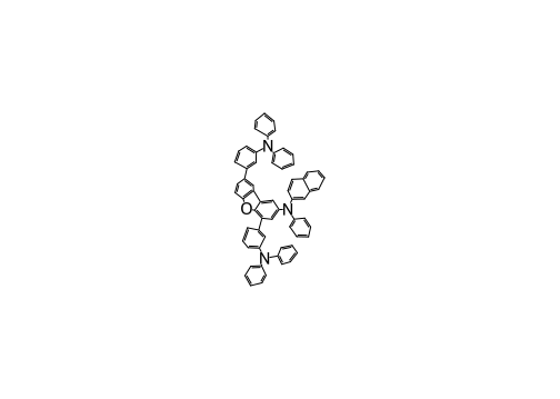 c1ccc(N(c2ccccc2)c2cccc(-c3ccc4oc5c(-c6cccc(N(c7ccccc7)c7ccccc7)c6)cc(N(c6ccccc6)c6ccc7ccccc7c6)cc5c4c3)c2)cc1